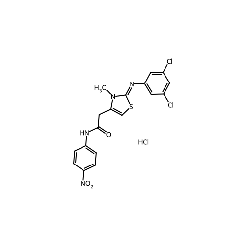 Cl.Cn1c(CC(=O)Nc2ccc([N+](=O)[O-])cc2)csc1=Nc1cc(Cl)cc(Cl)c1